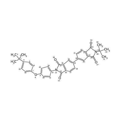 CC(C)(C)c1ccc(Oc2ccc(N3C(=O)c4ccc(-c5ccc6c(c5)C(=O)N(C(C)(C)C)C6=O)cc4C3=O)cc2)cc1